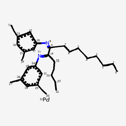 CCCCCCCCC(=Nc1cc(C)cc(C)c1)C(CCCC)=Nc1cc(C)cc(C)c1.[Pd]